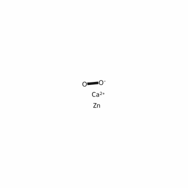 [Ca+2].[O-][O-].[Zn]